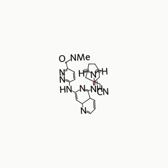 CNC(=O)c1ccc(NC2=CC3N=CC=CC3C(N[C@@H]3C[C@H]4CC[C@@H](C3)N4CCC#N)=N2)nn1